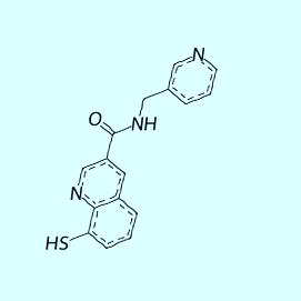 O=C(NCc1cccnc1)c1cnc2c(S)cccc2c1